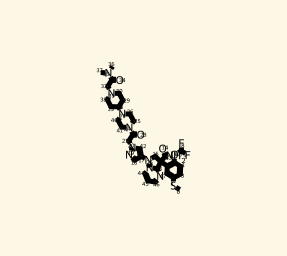 CSc1ccc(OC(F)F)c(C2(C(N)=O)CN(c3cnn(CC(=O)N4CCN(C5CCN(CC(=O)N(C)C)CC5)CC4)c3)N3C=CC=NC32)c1